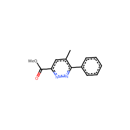 COC(=O)c1cc(C)c(-c2ccccc2)nn1